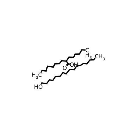 CCCCCCCCC(CCCCCC)C(=O)O.CCCCCCCCCCCCCCCCCO